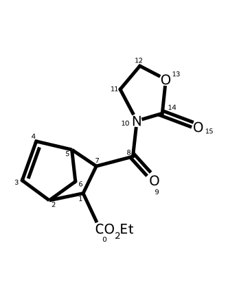 CCOC(=O)C1C2C=CC(C2)C1C(=O)N1CCOC1=O